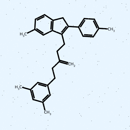 C=C(CCC1=C(c2ccc(C)cc2)Cc2ccc(C)cc21)CCc1cc(C)cc(C)c1